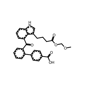 COCOC(=O)CCCc1c[nH]c2cccc(C(=O)c3ccccc3-c3ccc(C(=O)O)cc3)c12